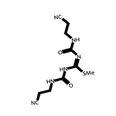 CSC(=NC(=O)NCCC#N)NC(=O)NCCC#N